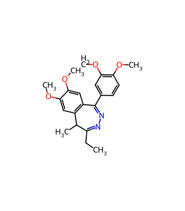 CCC1=NN=C(c2ccc(OC)c(OC)c2)c2cc(OC)c(OC)cc2C1C